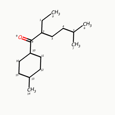 CCC(CCC(C)C)C(=O)C1CCC(C)CC1